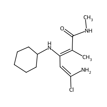 CNC(=O)/C(C)=C(/C=C(\N)Cl)NC1CCCCC1